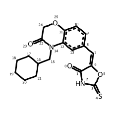 O=C1NC(=S)OC1=Cc1ccc2c(c1)N(CC1CCCCC1)C(=O)CO2